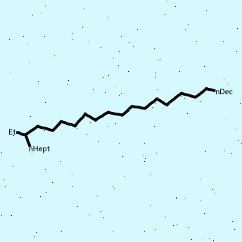 [CH2]CC(CCCCCCC)CCCCCCCCCCCCCCCCCCCCCCCCC